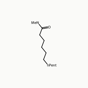 [CH2]NC(=O)CCCCCCCCCC